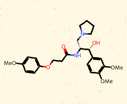 COc1ccc(OCCC(=O)N[C@H](CN2CCCC2)[C@H](O)c2ccc(OC)c(OC)c2)cc1